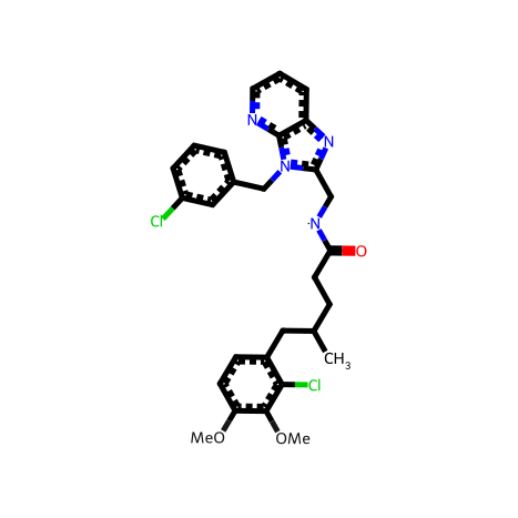 COc1ccc(CC(C)CCC(=O)[N]Cc2nc3cccnc3n2Cc2cccc(Cl)c2)c(Cl)c1OC